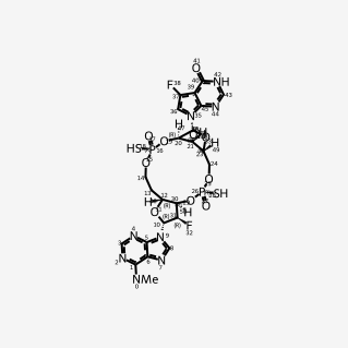 CNc1ncnc2c1ncn2[C@@H]1O[C@@H]2CCO[P@@](=O)(S)O[C@@H]3[C@H](O)[C@@H](CO[P@@](=O)(S)O[C@H]2[C@H]1F)O[C@H]3n1cc(F)c2c(=O)[nH]cnc21